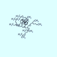 CCCCC(CC)COCC(CN(CC(COCC(CC)CCCC)OC(C)(C)CCOC(C)C)c1ccc(OC(C)(C)CCOC(C)C)cc1)OC(C)(C)CCOC(C)C